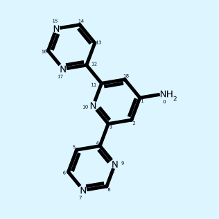 Nc1cc(-c2ccncn2)nc(-c2ccncn2)c1